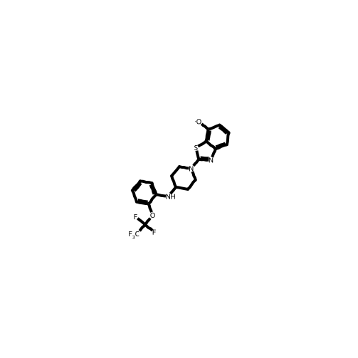 [O]c1cccc2nc(N3CCC(Nc4ccccc4OC(F)(F)C(F)(F)F)CC3)sc12